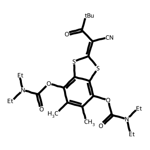 CCN(CC)C(=O)Oc1c(C)c(C)c(OC(=O)N(CC)CC)c2c1SC(=C(C#N)C(=O)C(C)(C)C)S2